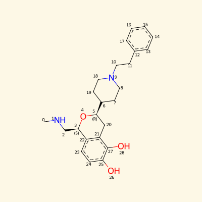 CNC[C@H]1O[C@@H](C2CCN(CCc3ccccc3)CC2)Cc2c1ccc(O)c2O